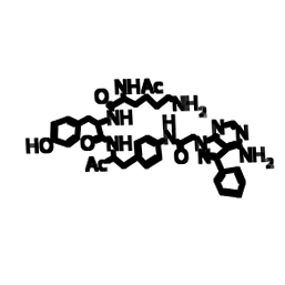 CC(=O)NC(CCCCN)C(=O)NC(Cc1ccc(O)cc1)C(=O)NC(Cc1ccc(NC(=O)Cn2nc(-c3ccccc3)c3c(N)ncnc32)cc1)C(C)=O